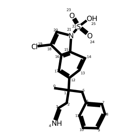 CC(CC=N)(Cc1ccccc1)c1ccc2c(c1)c(Cl)cn2S(=O)(=O)O